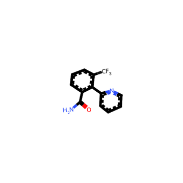 NC(=O)c1cccc(C(F)(F)F)c1-c1ccccn1